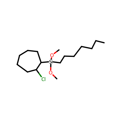 CCCCCCC[Si](OC)(OC)C1CCCCCC1Cl